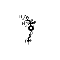 COC(=O)CC(N)(c1ccc(OCCCC(F)(F)F)cc1)C(F)(F)F